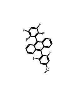 COc1cc(F)c(-c2c3ccccc3c(-c3c(F)c(F)cc(F)c3F)c3ccccc23)c(F)c1